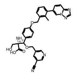 Cc1c(COc2ccc(C(OCc3cncc(C#N)c3)[C@](N)(CO)C(=O)O)cc2)cccc1-c1ccc2ncnn2c1